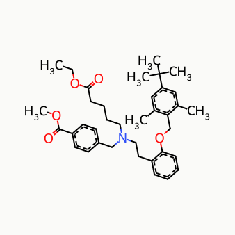 CCOC(=O)CCCCN(CCc1ccccc1OCc1c(C)cc(C(C)(C)C)cc1C)Cc1ccc(C(=O)OC)cc1